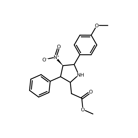 COC(=O)CC1NC(c2ccc(OC)cc2)[C@H]([N+](=O)[O-])C1c1ccccc1